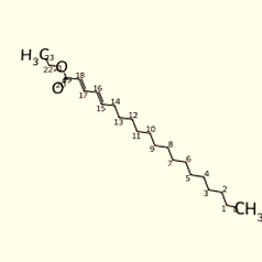 CCCCCCCCCCCCCCCC=CC=CC(=O)OCC